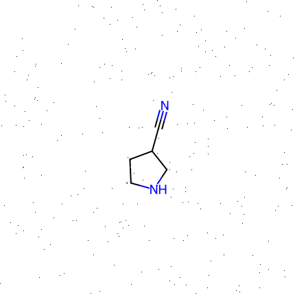 N#CC1C[CH]NC1